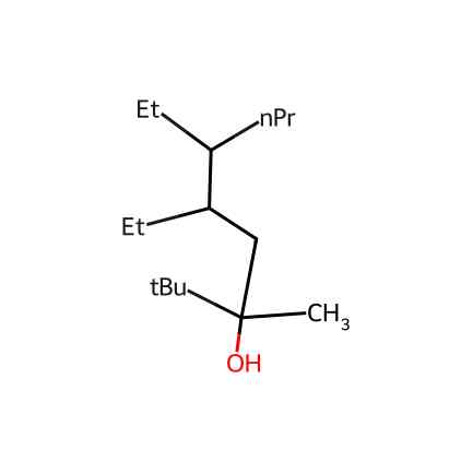 CCCC(CC)C(CC)CC(C)(O)C(C)(C)C